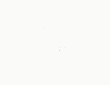 COc1ccc(CNC(=O)c2cc(C3CC3)nn2C)cc1C(F)(F)F